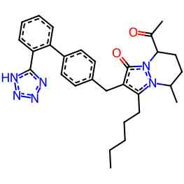 CCCCCc1c(Cc2ccc(-c3ccccc3-c3nnn[nH]3)cc2)c(=O)n2n1C(C)CCC2C(C)=O